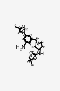 Cc1cn(-c2cc(N)cc(CN3CC[C@H](NC(=O)OC(C)(C)C)C3)c2)cn1